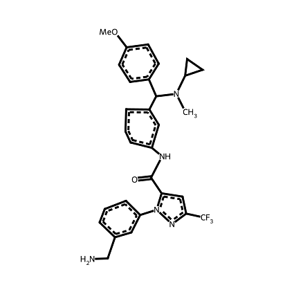 COc1ccc(C(c2cccc(NC(=O)c3cc(C(F)(F)F)nn3-c3cccc(CN)c3)c2)N(C)C2CC2)cc1